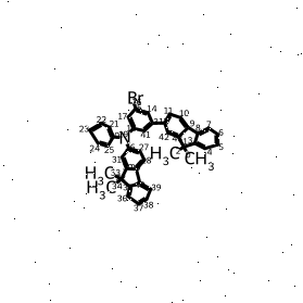 CC1(C)c2ccccc2-c2ccc(-c3cc(Br)cc(N(c4ccccc4)c4ccc5c(c4)C(C)(C)c4ccccc4-5)c3)cc21